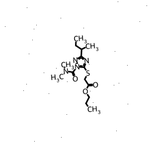 CCCOC(=O)CSc1nc(C(C)CC)nn1C(=O)N(C)C